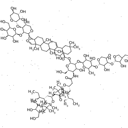 CC[C@H](C)[C@H](C[C@@H](CC(=O)N[C@@H]1C(O)C(O[C@@H]2OC(C)[C@H](O[C@@H]3OC[C@@H](O)C(O[C@@H]4OC[C@@](O)(CO)C4O)C3O)C(O)C2O)[C@H](OC(=O)[C@]23CCC(C)(C)CC2C2=CCC4C5(C)CC[C@H](O[C@@H]6OC[C@@H](O)[C@H](O[C@@H]7OC[C@@H](O)[C@H](O)C7O)C6O[C@@H]6OC(CO)[C@H](O)[C@H](O)C6O)C(C)(C=O)[C@@H]5CCC4(C)C2(C)C[C@H]3O)O[C@@H]1CO)O[Si](C)(C)C(C)(C)C)NC(=O)C[C@H](C[C@H](O[C@@H]1OC(CO)C(O)C1O)[C@@H](C)CC)O[Si](C)(C)C(C)(C)C